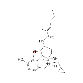 CCC/C=C(\C)C(=O)N[C@@H]1CC[C@@]2(O)[C@H]3Cc4ccc(O)c5c4[C@@]2(CCN3CC2CC2)[C@H]1O5